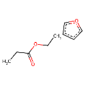 CCOC(=O)CC.c1ccoc1